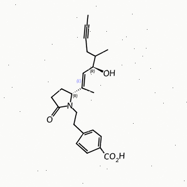 CC#CCC(C)[C@@H](O)/C=C(\C)[C@H]1CCC(=O)N1CCc1ccc(C(=O)O)cc1